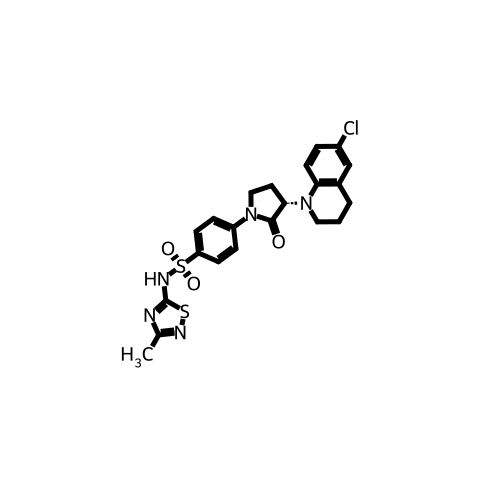 Cc1nsc(NS(=O)(=O)c2ccc(N3CC[C@H](N4CCCc5cc(Cl)ccc54)C3=O)cc2)n1